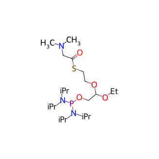 CCOC(COP(N(C(C)C)C(C)C)N(C(C)C)C(C)C)OCCSC(=O)CN(C)C